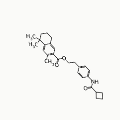 Cc1cc2c(cc1C(=O)OCCc1ccc(NC(=O)C3CCC3)cc1)CCCC2(C)C